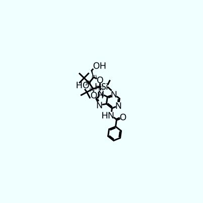 C[SiH](C)[C@@]1(n2cnc3c(NC(=O)c4ccccc4)ncnc32)O[C@H](CO)[C@](O)(C(C)(C)C)[C@]1(O)C(C)(C)C